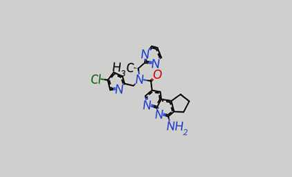 C[C@H](c1ncccn1)N(Cc1ccc(Cl)cn1)C(=O)c1cnc2nc(N)c3c(c2c1)CCC3